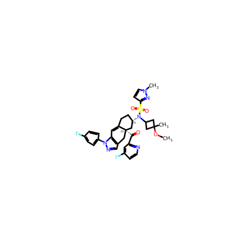 COC1(C)CC(N([C@H]2CCC3=Cc4c(cnn4-c4ccc(F)cc4)C[C@]3(C(=O)c3cc(F)ccn3)C2)S(=O)(=O)c2ccn(C)n2)C1